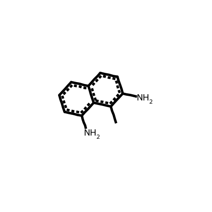 Cc1c(N)ccc2cccc(N)c12